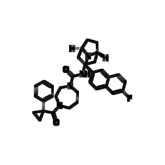 O=C(NC1C[C@H]2CC[C@H](C1)N2Cc1ccc2cc(F)ccc2c1)N1CCCN(C(=O)C2(c3ccccc3)CC2)CC1